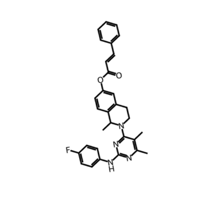 Cc1nc(Nc2ccc(F)cc2)nc(N2CCc3cc(OC(=O)C=Cc4ccccc4)ccc3C2C)c1C